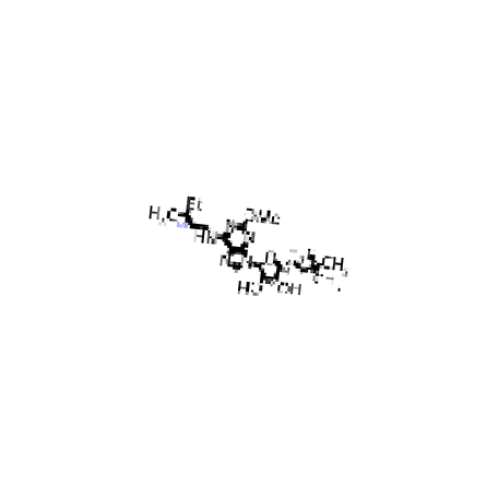 C=P(C)(C)CC[C@H]1OC(n2cnc3c(NC/C=C(/C)CC)nc(OC)nc32)[C@H](O)[C@@H]1O